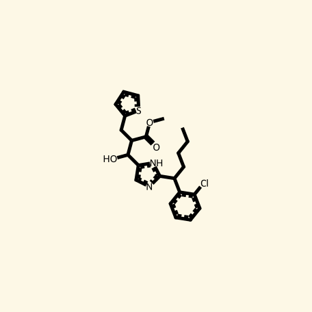 CCCCC(c1ncc(C(O)C(Cc2cccs2)C(=O)OC)[nH]1)c1ccccc1Cl